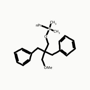 CCC[Si](C)(C)OCC(COC)(Cc1ccccc1)Cc1ccccc1